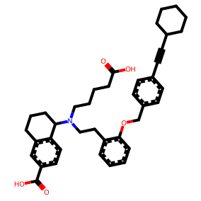 O=C(O)CCCCN(CCc1ccccc1OCc1ccc(C#CC2CCCCC2)cc1)C1CCCc2cc(C(=O)O)ccc21